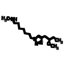 CCC(Cc1cn(CCCCCCCNC)nn1)OC